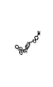 N#Cc1ccc(OCCCN2CC3CN(CCNS(=O)(=O)Cc4ccccc4)CC(C2)O3)cc1